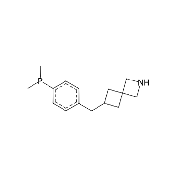 CP(C)c1ccc(CC2CC3(CNC3)C2)cc1